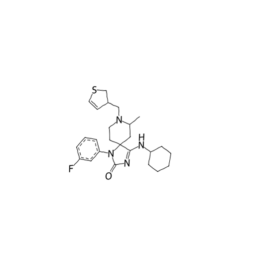 CC1CC2(CCN1CC1C=CSC1)C(NC1CCCCC1)=NC(=O)N2c1cccc(F)c1